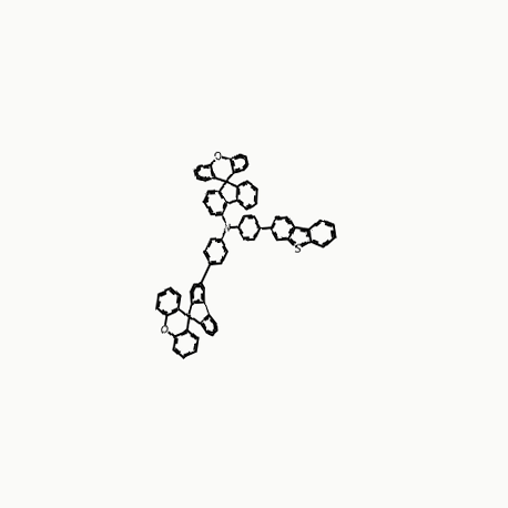 c1ccc2c(c1)Oc1ccccc1C21c2ccccc2-c2cc(-c3ccc(N(c4ccc(-c5ccc6c(c5)sc5ccccc56)cc4)c4cccc5c4-c4ccccc4C54c5ccccc5Oc5ccccc54)cc3)ccc21